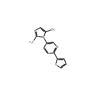 Cc1cnc(C)n1-c1ccc(-c2ccco2)nc1